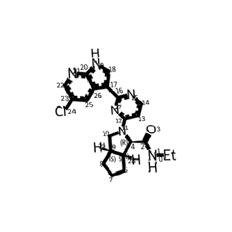 CCNC(=O)[C@H]1[C@@H]2CCC[C@@H]2CN1c1ccnc(-c2c[nH]c3ncc(Cl)cc23)n1